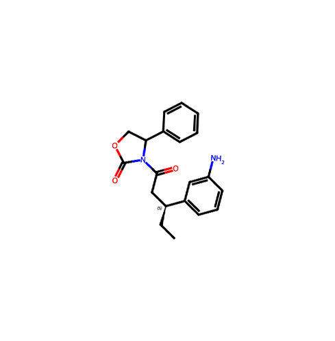 CC[C@@H](CC(=O)N1C(=O)OCC1c1ccccc1)c1cccc(N)c1